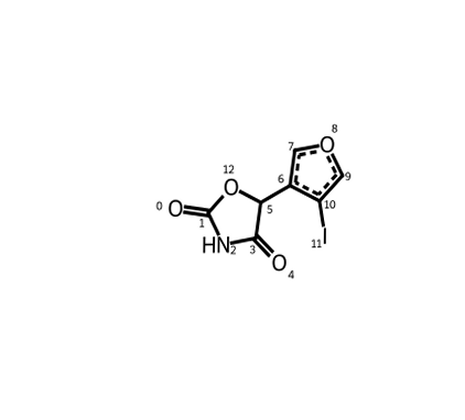 O=C1NC(=O)C(c2cocc2I)O1